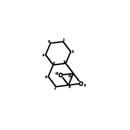 C1CCC2C(C1)CCC13OC21O3